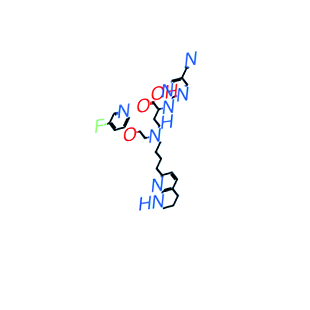 N#Cc1cnc(NC(CCN(CCCCc2ccc3c(n2)NCCC3)CCOc2cncc(F)c2)C(=O)O)nc1